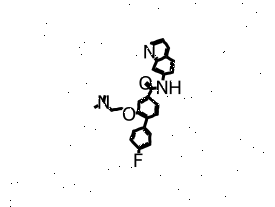 CN(C)CCOc1cc(C(=O)Nc2ccc3cccnc3c2)ccc1-c1ccc(F)cc1